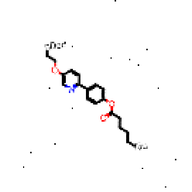 CCCCCCCCCCCCOc1ccc(-c2ccc(OC(=O)CCCCC(C)CC)cc2)nc1